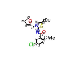 COc1ccc(Cl)cc1C(=O)/N=c1\sc(C(C)(C)C)cn1C[C@@H]1CCCO1